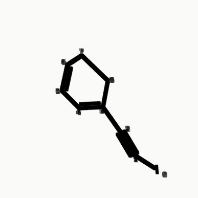 IC#CC1=CC=CCC1